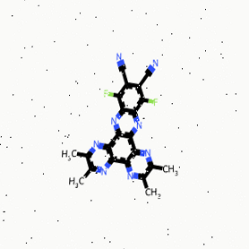 Cc1nc2c3nc(C)c(C)nc3c3nc4c(F)c(C#N)c(C#N)c(F)c4nc3c2nc1C